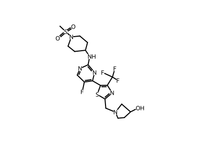 CS(=O)(=O)N1CCC(Nc2ncc(F)c(-c3sc(CN4CCC(O)C4)nc3C(F)(F)F)n2)CC1